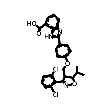 CC(C)C1ON=C(c2c(Cl)cccc2Cl)C1COc1ccc(-c2nc3cccc(C(=O)O)c3[nH]2)cc1